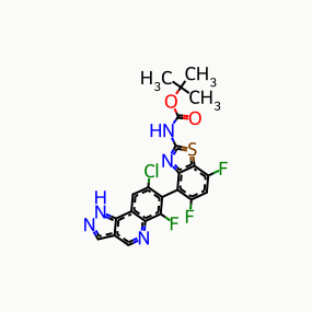 CC(C)(C)OC(=O)Nc1nc2c(-c3c(Cl)cc4c(ncc5cn[nH]c54)c3F)c(F)cc(F)c2s1